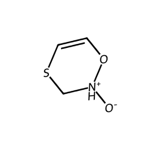 [O-][NH+]1CSC=CO1